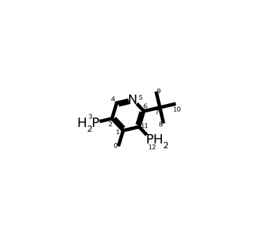 Cc1c(P)cnc(C(C)(C)C)c1P